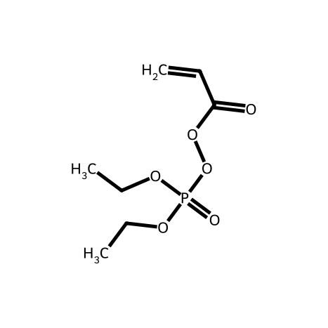 C=CC(=O)OOP(=O)(OCC)OCC